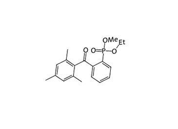 CCOP(=O)(OC)c1ccccc1C(=O)c1c(C)cc(C)cc1C